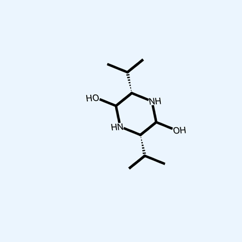 CC(C)[C@@H]1NC(O)[C@H](C(C)C)NC1O